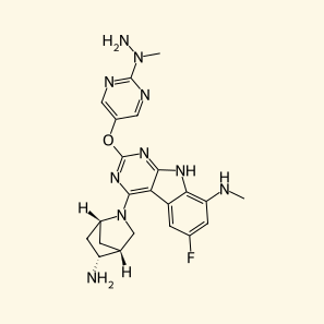 CNc1cc(F)cc2c1[nH]c1nc(Oc3cnc(N(C)N)nc3)nc(N3C[C@H]4C[C@@H]3C[C@H]4N)c12